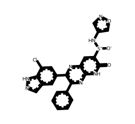 O=c1[nH]c2nc(-c3ccccc3)c(-c3cc(Cl)c4[nH]ncc4c3)nc2cc1[S+]([O-])Nc1cnoc1